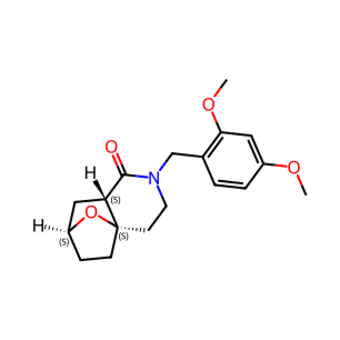 COc1ccc(CN2CC[C@@]34CC[C@@H](C[C@@H]3C2=O)O4)c(OC)c1